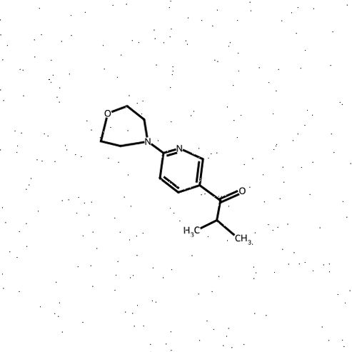 CC(C)C(=O)c1ccc(N2CCOCC2)nc1